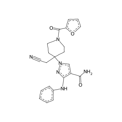 N#CCC1(n2cc(C(N)=O)c(Nc3ccccc3)n2)CCN(C(=O)c2ccco2)CC1